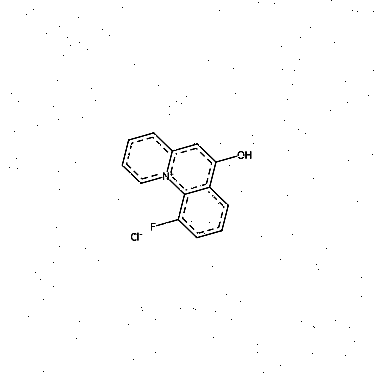 Oc1cc2cccc[n+]2c2c(F)cccc12.[Cl-]